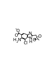 COC(=O)c1cc2nc(CS(C)(=O)=O)[nH]c2c(Cl)c1N